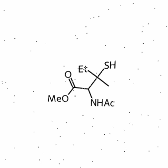 CCC(C)(S)C(NC(C)=O)C(=O)OC